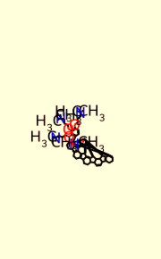 CN(C)CCCOc1ccc(C2N(C)CC34c5c6c7c8c9c%10c%11c7c7c5=C5CCC=7C%11CCC%10C7C=CC%10C%11=c%12c(c-8c-6c6c%12=C(CC%11)C(CCC53)C624)C%10C97)c(OCCCN(C)C)c1OCCCN(C)C